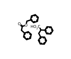 O=C(Cc1ccccc1)OCc1ccccc1.O=C(O)C(Cc1ccccc1)c1ccccc1